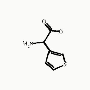 NC(C(=O)Cl)c1ccsc1